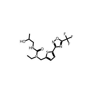 CCN(Cc1ccc(-c2noc(C(F)(F)F)n2)s1)C(=O)NCC(C)O